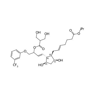 CC(C)OC(=O)CCCC=CC[C@@H]1[C@@H](C=CC(COc2cccc(C(F)(F)F)c2)OC(=O)C(CO)CO)[C@H](O)C[C@@H]1O